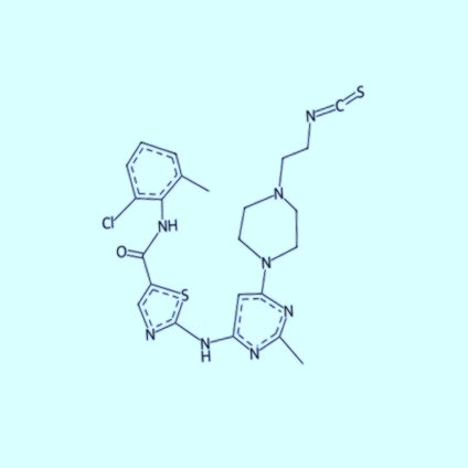 Cc1nc(Nc2ncc(C(=O)Nc3c(C)cccc3Cl)s2)cc(N2CCN(CCN=C=S)CC2)n1